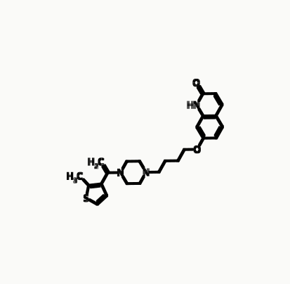 C=C(c1ccsc1C)N1CCN(CCCCOc2ccc3ccc(=O)[nH]c3c2)CC1